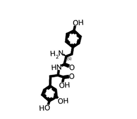 N[C@@H](Cc1ccc(O)cc1)C(=O)NC(Cc1ccc(O)c(O)c1)C(=O)O